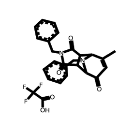 CC1=CC(=O)C2C3C(=O)N(Cc4ccccc4)C(=O)C3C1N2Cc1ccccc1.O=C(O)C(F)(F)F